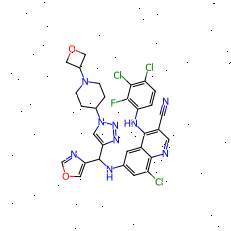 N#Cc1cnc2c(Cl)cc(NC(c3cocn3)c3cn(C4CCN(C5COC5)CC4)nn3)cc2c1Nc1ccc(Cl)c(Cl)c1F